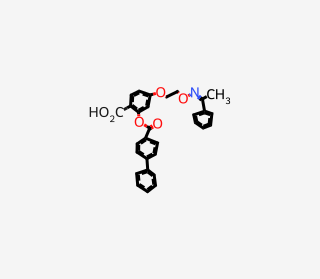 CC(=NOCCOc1ccc(C(=O)O)c(OC(=O)c2ccc(-c3ccccc3)cc2)c1)c1ccccc1